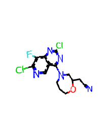 N#CCC1CN(c2nc(Cl)nc3c(F)c(Cl)ncc23)CCCO1